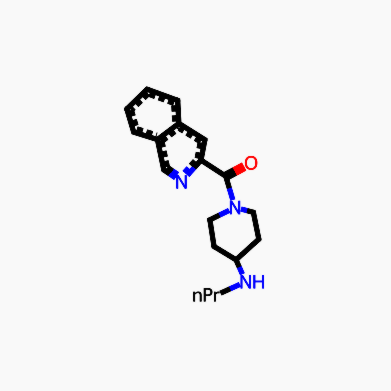 CCCNC1CCN(C(=O)c2cc3ccccc3cn2)CC1